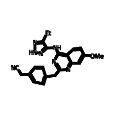 CCc1n[nH]nc1Nc1nc(Cc2ccc(CC#N)cc2)nc2cc(OC)ccc12